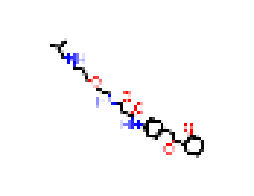 CC(C)CNCCCOCCNC(=O)CC(=O)Nc1ccc(CC(=O)C2CCCCC2=O)cc1